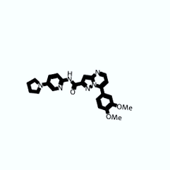 COc1ccc(-c2ccnc3cc(C(=O)Nc4ccc(N5CCCC5)cn4)nn23)cc1OC